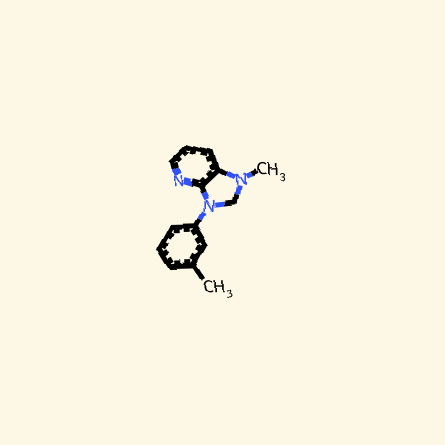 Cc1cccc(N2CN(C)c3cccnc32)c1